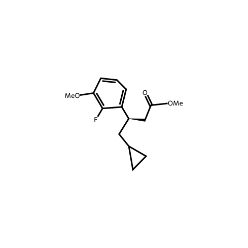 COC(=O)C[C@@H](CC1CC1)c1cccc(OC)c1F